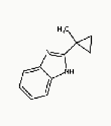 CC1(c2nc3ccccc3[nH]2)CC1